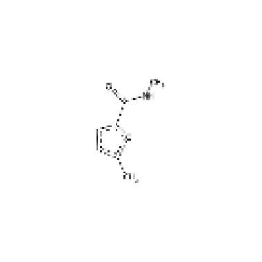 CNC(=O)c1ccc(C)o1